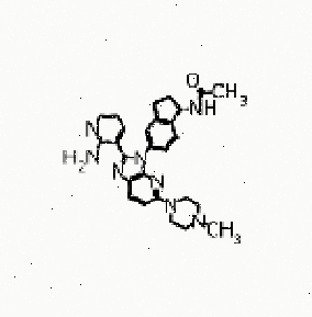 CC(=O)N[C@H]1CCc2cc(-n3c(-c4cccnc4N)nc4ccc(N5CCN(C)CC5)nc43)ccc21